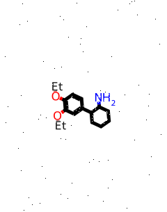 CCOc1ccc(C2CCCCC2N)cc1OCC